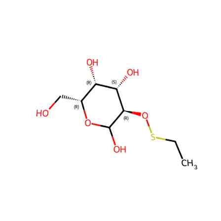 CCSO[C@H]1C(O)O[C@H](CO)[C@H](O)[C@@H]1O